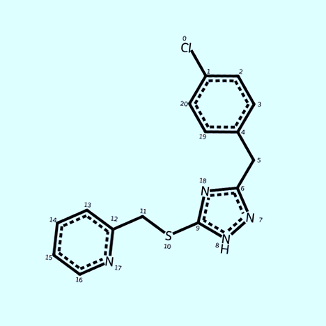 Clc1ccc(Cc2n[nH]c(SCc3ccccn3)n2)cc1